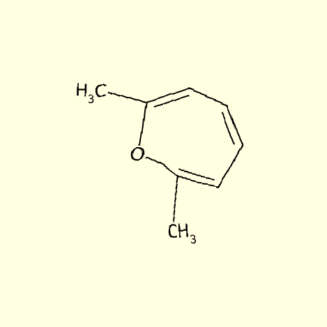 CC1=CC=CC=C(C)O1